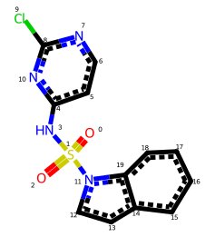 O=S(=O)(Nc1ccnc(Cl)n1)n1ccc2ccccc21